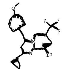 COc1ccc(C2CC(C3CC3)N=C3C(Cl)=CC(C(F)(F)F)=CN32)cc1